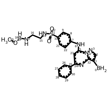 Bc1cnn2c(Nc3ccc(S(=O)(=O)NCCNBOC)cc3)cc(-c3ccccc3)nc12